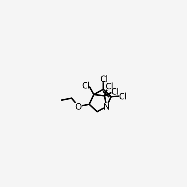 CCOC1CN2C(Cl)=C(Cl)C1(Cl)C2(Cl)Cl